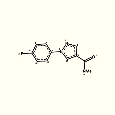 CNC(=O)c1cnn(-c2ccc(F)cc2)c1